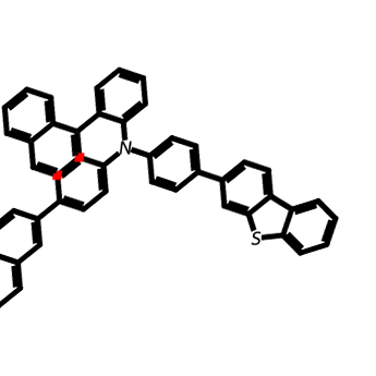 c1ccc(N(c2ccc(-c3ccc4ccccc4c3)cc2)c2ccc(-c3ccc4c(c3)sc3ccccc34)cc2)c(-c2cccc3ccccc23)c1